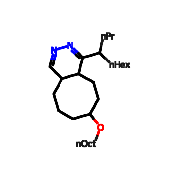 CCCCCCCCOC1CCCC2C=NN=C(C(CCC)CCCCCC)C2CC1